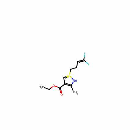 CCOC(=O)C1=C(C)NS(CCC=C(F)F)=C1